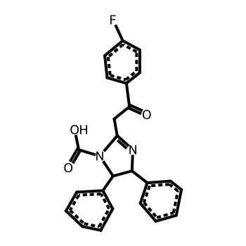 O=C(CC1=NC(c2ccccc2)C(c2ccccc2)N1C(=O)O)c1ccc(F)cc1